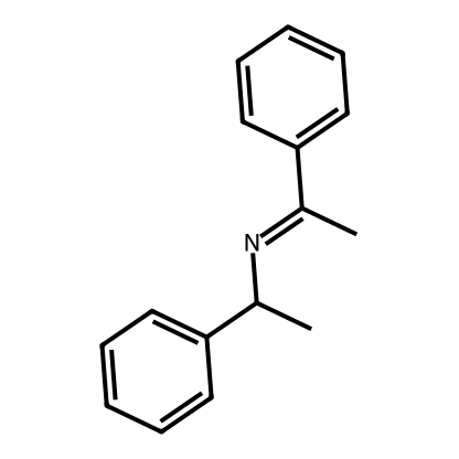 C/C(=N\C(C)c1ccccc1)c1ccccc1